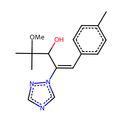 COC(C)(C)C(O)/C(=C\c1ccc(C)cc1)n1cncn1